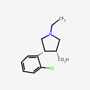 O=C(O)[C@H]1CN(CC(F)(F)F)C[C@H]1c1ccccc1Cl